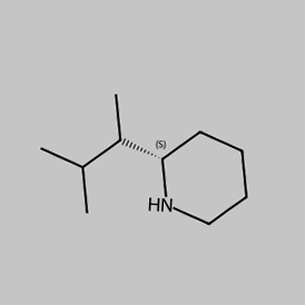 CC(C)C(C)[C@@H]1CCCCN1